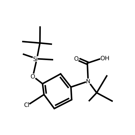 CC(C)(C)N(C(=O)O)c1ccc(Cl)c(O[Si](C)(C)C(C)(C)C)c1